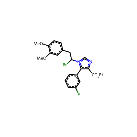 CCOC(=O)c1ncn(C(Br)Cc2ccc(OC)c(OC)c2)c1-c1cccc(F)c1